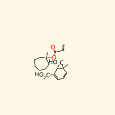 C=CC(=O)OC1(C)CCCCCC1.CC1(C(=O)O)C=CC=C(C(=O)O)C1